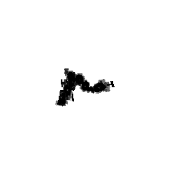 C[C@@H]1CN(CCCc2ccc(-c3cccc(Oc4ncc(F)cc4C(=O)N[C@H]4CC[C@H](NC(=O)c5ccn(C)n5)CC4)c3)cc2)C[C@H](C)N1